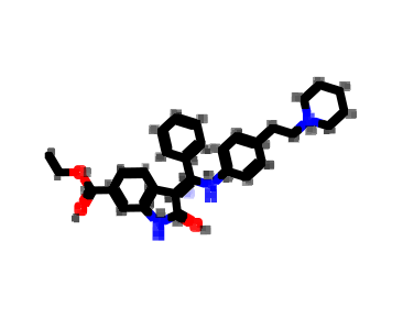 CCOC(=O)c1ccc2c(c1)NC(=O)/C2=C(\Nc1ccc(CCN2CCCCC2)cc1)c1ccccc1